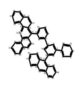 c1ccc(-c2cc(-c3cccc(-c4c5ccc6ccccc6c5nc5c4ccc4ccccc45)c3)cc(-c3c4ccccc4cc4ccccc34)c2)cc1